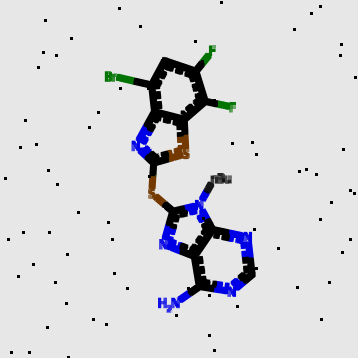 CCCCn1c(Sc2nc3c(Br)cc(F)c(F)c3s2)nc2c(N)ncnc21